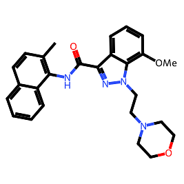 COc1cccc2c(C(=O)Nc3c(C)ccc4ccccc34)nn(CCN3CCOCC3)c12